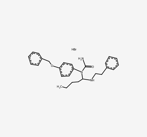 Br.CCCCC(NCCc1ccccc1)N(C(N)=O)c1ccc(OCc2ccccc2)cc1